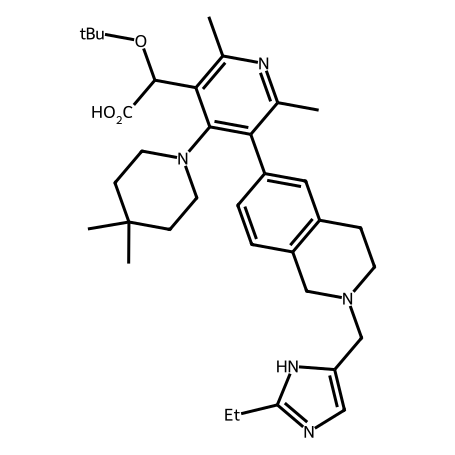 CCc1ncc(CN2CCc3cc(-c4c(C)nc(C)c(C(OC(C)(C)C)C(=O)O)c4N4CCC(C)(C)CC4)ccc3C2)[nH]1